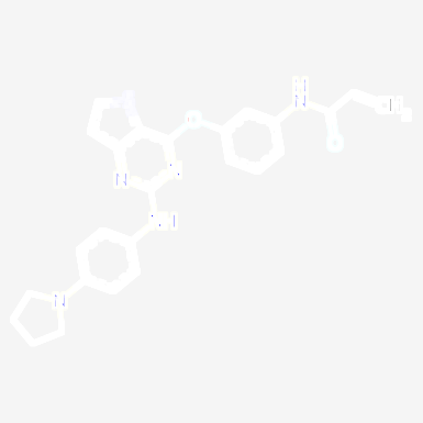 C=CC(=O)Nc1cccc(Oc2nc(Nc3ccc(N4CCCC4)cc3)nc3ccsc23)c1